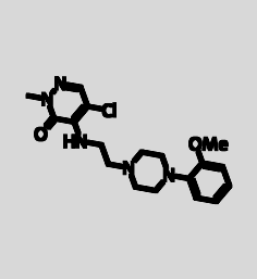 COc1ccccc1N1CCN(CCNc2c(Cl)cnn(C)c2=O)CC1